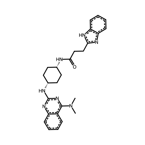 CN(C)c1nc(N[C@H]2CC[C@@H](NC(=O)CCc3nc4ccccc4[nH]3)CC2)nc2ccccc12